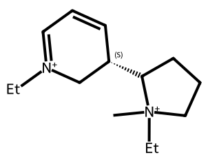 CC[N+]1=CC=C[C@H](C2CCC[N+]2(C)CC)C1